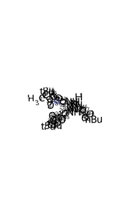 C=C(C)COC(=O)/C(=C/c1ccc(Nc2nc(Nc3ccc(C=C(C(=O)OCC(C)(C)C)C(=O)OCC(C)(C)C)cc3)nc(Nc3ccc(C(=O)OCCCC)cc3)n2)cc1)C(=O)OCC(C)(C)C